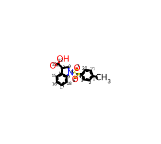 Cc1ccc(S(=O)(=O)N2CC(C(=O)O)c3ccccc32)cc1